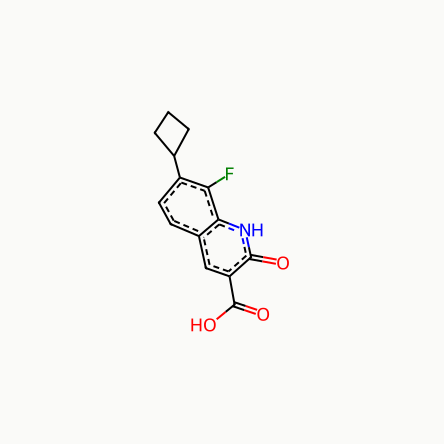 O=C(O)c1cc2ccc(C3CCC3)c(F)c2[nH]c1=O